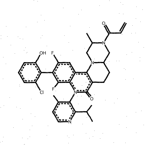 C=CC(=O)N1CC2CCc3c(c4cc(F)c(-c5c(O)cccc5Cl)c(F)c4n(-c4c(C)ccnc4C(C)C)c3=O)N2CC1C